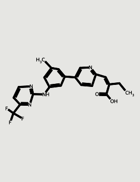 CCC(=Cc1ccc(-c2cc(C)cc(Nc3nccc(C(F)(F)F)n3)c2)cn1)C(=O)O